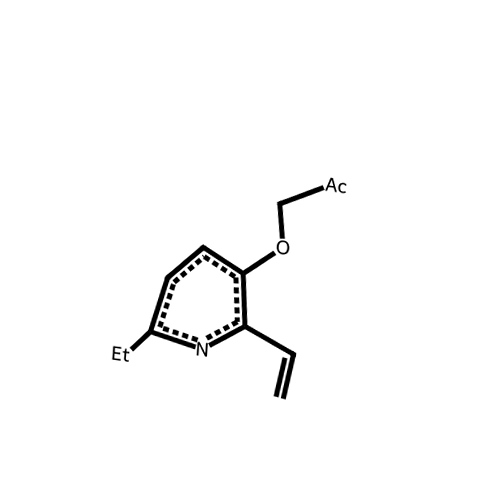 C=Cc1nc(CC)ccc1OCC(C)=O